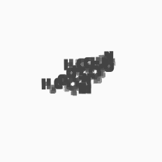 COc1ccc(Br)c2c1OCC1C2Nc2ccc(-c3cnco3)cc2C1(C)C